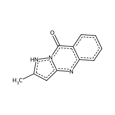 Cc1cc2nc3ccccc3c(=O)n2[nH]1